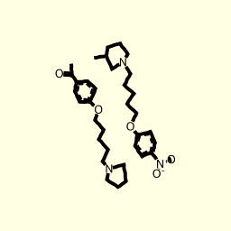 CC(=O)c1ccc(OCCCCCN2CCCC2)cc1.CC1CCCN(CCCCCOc2ccc([N+](=O)[O-])cc2)C1